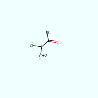 CCC(=O)C(Cl)[C]=O